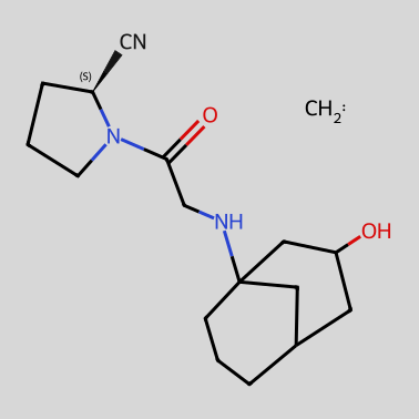 N#C[C@@H]1CCCN1C(=O)CNC12CCCC(CC(O)C1)C2.[CH2]